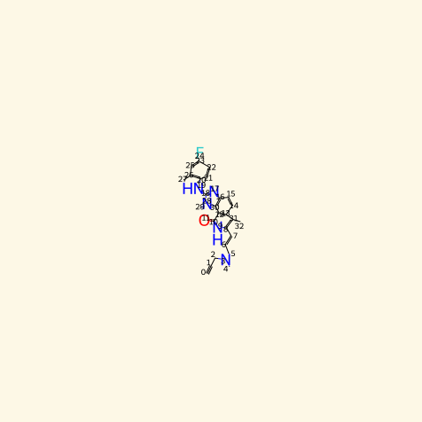 C#CCN(C)C/C=C/c1[nH]c(=O)c2c(ccc3nc(Nc4ccc(F)cc4C)n(C)c32)c1C